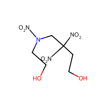 O=[N+]([O-])N(CCO)CC(CCO)([N+](=O)[O-])[N+](=O)[O-]